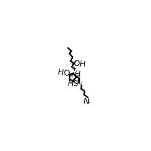 CCCCC[C@H](O)/C=C/[C@@H]1[C@H]2C[C@H](CCCCCN(C)C)S[C@H]2C[C@H]1O